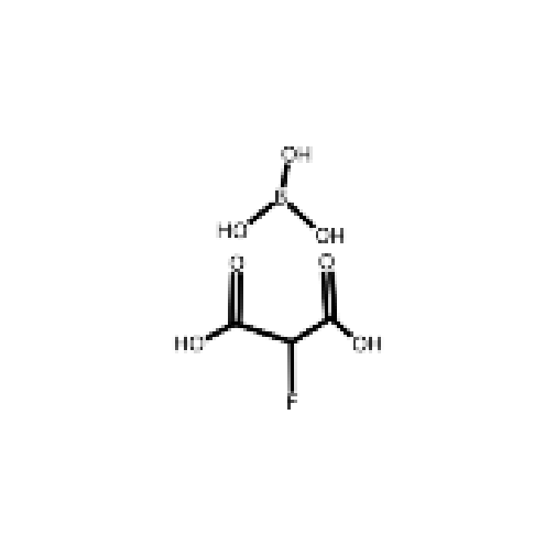 O=C(O)C(F)C(=O)O.OB(O)O